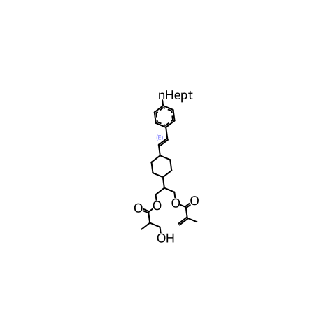 C=C(C)C(=O)OCC(COC(=O)C(C)CO)C1CCC(/C=C/c2ccc(CCCCCCC)cc2)CC1